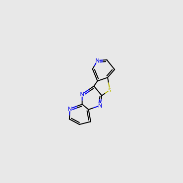 c1cnc2nc3c(nc2c1)sc1ccncc13